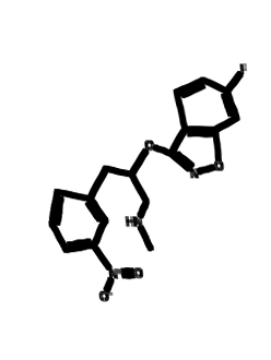 CNCC(Cc1cccc([N+](=O)[O-])c1)Oc1noc2cc(F)ccc12